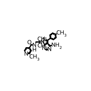 Cc1ccc(-c2nn(C(C)(C)CNC(=O)c3ccnc(C)c3)c3ncnc(N)c23)cc1